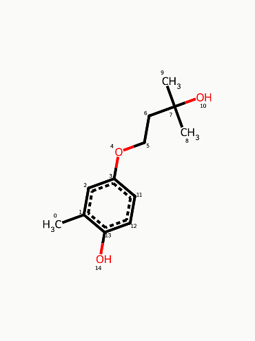 Cc1cc(OCCC(C)(C)O)ccc1O